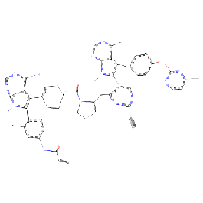 C#Cc1ncc(-c2c(-c3ccc(Oc4nccc(C)n4)cc3)c3c(C)ncnc3n2C)c(CC2CCCN2C(=O)[C@H]2CC=C(c3c(-c4ccc(NC(=O)C=C)cc4C)n(C)c4ncnc(N)c34)CC2)n1